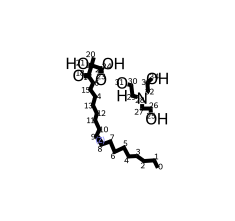 CCCCCCCC/C=C\CCCCCCCC(=O)C(C)(O)C(=O)O.OCCN(CCO)CCO